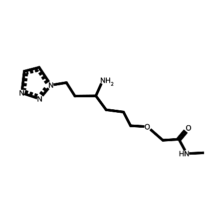 CNC(=O)COCCCC(N)CCn1ccnn1